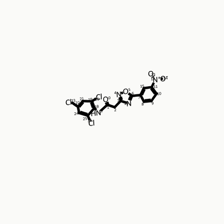 O=C(Cc1noc(-c2cccc([N+](=O)[O-])c2)n1)Nc1c(Cl)cc(Cl)cc1Cl